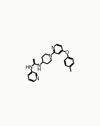 C=C(Nc1cccnc1)NC1CCN(c2cc(Oc3ccc(C)cc3)ccn2)CC1